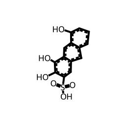 O=S(=O)(O)c1cc2cc3cccc(O)c3cc2c(O)c1O